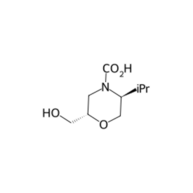 CC(C)[C@H]1CO[C@H](CO)CN1C(=O)O